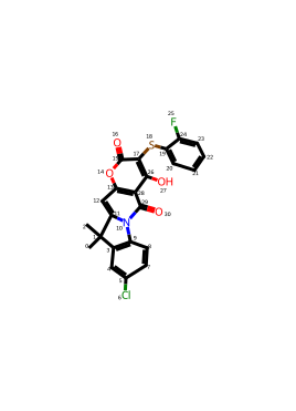 CC1(C)c2cc(Cl)ccc2-n2c1cc1oc(=O)c(Sc3ccccc3F)c(O)c1c2=O